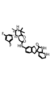 C[C@H]1NC(C)(C)C(=O)N(CC(=O)Nc2ccc3c(c2)C[C@@]2(C3)C(=O)NC3=C2C=CCN3)[C@@H]1c1cc(F)cc(F)c1